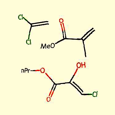 C=C(C)C(=O)OC.C=C(Cl)Cl.CCCOC(=O)C(O)=CCl